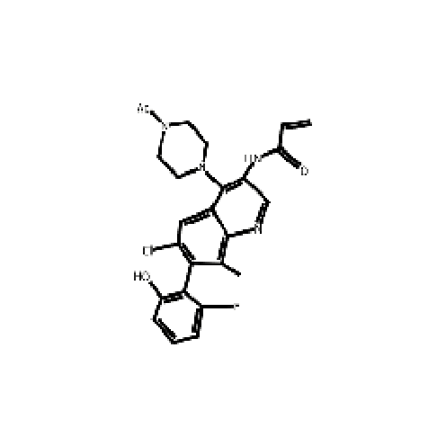 C=CC(=O)Nc1cnc2c(C)c(-c3c(O)cccc3F)c(Cl)cc2c1N1CCN(C(C)=O)CC1